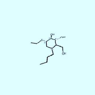 CCCCN1C[C@H](SCC)[C@@H](O)[C@H](O)C1CO